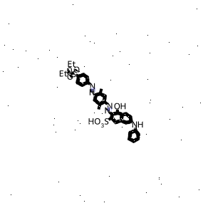 CCN(CC)S(=O)(=O)c1ccc(/N=N/c2cc(C)c(/N=N/c3c(S(=O)(=O)O)cc4cc(Nc5ccccc5)ccc4c3O)cc2C)cc1